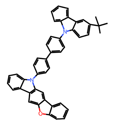 CC(C)(C)c1ccc2c(c1)c1ccccc1n2-c1ccc(-c2ccc(-n3c4ccccc4c4cc5oc6ccccc6c5cc43)cc2)cc1